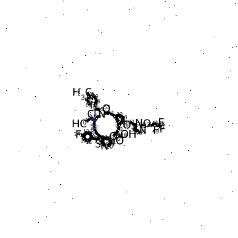 C#C/C(Cl)=C1\C=C/Cc2c(-c3ccc(F)cc3)sc3ncnc(c23)O[C@@H](C(=O)O)Cc2cc(ccc2OCc2ccnc(OCCC(F)(F)F)n2)CC(=O)N(CCN2CCN(C)CC2)C1